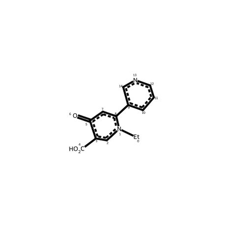 CCn1cc(C(=O)O)c(=O)cc1-c1cccnc1